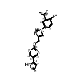 Fc1ccc(-n2cc(COc3ncc(-c4ccn[nH]4)cn3)nn2)cc1C(F)F